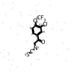 O=C(CN=C=S)c1ccc(OC(F)(F)F)c(Cl)c1